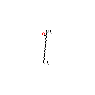 CCCCCCCCCCCCCCCCCC(C=O)CCC